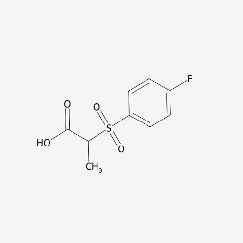 CC(C(=O)O)S(=O)(=O)c1ccc(F)cc1